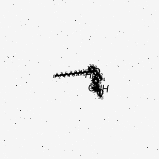 CCCCCCCCCCCCCCCc1cccc(OC(CCC)Nc2ccc(-n3[nH]c(OCC)cc3=O)cc2)c1